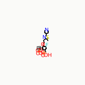 CCOP(=O)(OCC)OOP(=O)(O)Cc1ccc(OCCc2nc(-c3ccncc3)sc2C)c(F)c1